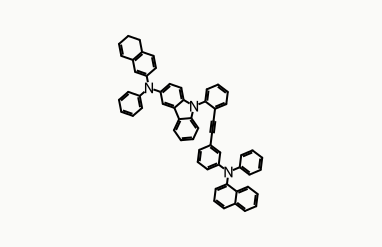 C(#Cc1ccccc1-n1c2ccccc2c2cc(N(c3ccccc3)c3ccc4c(c3)C=CCC4)ccc21)c1cccc(N(c2ccccc2)c2cccc3ccccc23)c1